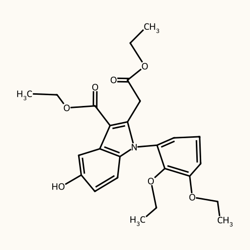 CCOC(=O)Cc1c(C(=O)OCC)c2cc(O)ccc2n1-c1cccc(OCC)c1OCC